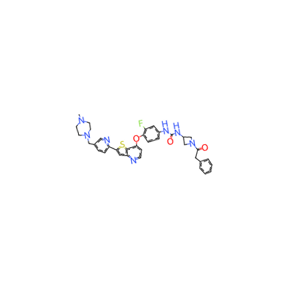 CN1CCN(Cc2ccc(-c3cc4nccc(Oc5ccc(NC(=O)NC6CN(C(=O)Cc7ccccc7)C6)cc5F)c4s3)nc2)CC1